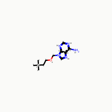 C[Si](C)(C)CCOCn1cnc2c(N)ncnc21